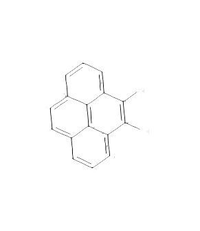 Oc1c(Br)c2cccc3ccc4cccc1c4c32